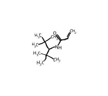 C=CC(=O)NC(C(C)(C)C)C(C)(C)C